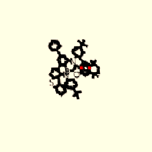 CC(C)(C)c1ccc(N2B3c4oc5cc6c(cc5c4N(c4ccc(C(C)(C)C)cc4-c4ccccc4)c4cc(-c5ccccc5)cc(c43)-c3ccc4sc5ccccc5c4c32)C(C)(C)CCC6(C)C)cc1